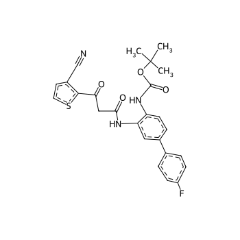 CC(C)(C)OC(=O)Nc1ccc(-c2ccc(F)cc2)cc1NC(=O)CC(=O)c1sccc1C#N